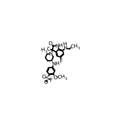 CCNc1cc(F)cc2c1NC(=O)C2(C)N1CCC[C@@H](Nc2ccc(S(=O)(=O)F)c(OC)c2)C1